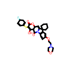 O=C1OC2C=C3N(C(=O)C2C(O)=C1SC1=CCC(F)C=C1)c1ccc(OCCN2CCOCC2)cc1C31CCCCC1